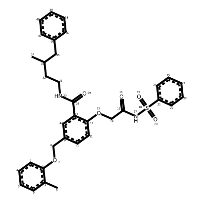 Cc1ccccc1OCc1ccc(OCC(=O)NS(=O)(=O)c2ccccc2)c(C(=O)NCCC(C)Cc2ccccc2)c1